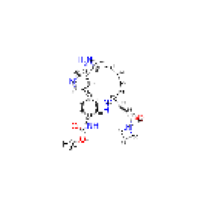 COC(=O)Nc1ccc2c(c1)NC(C#CC(=O)N1CCC1)CCCCC[C@H](N)c1cncc-2c1